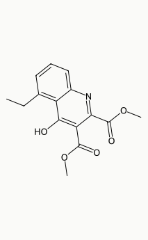 CCc1cccc2nc(C(=O)OC)c(C(=O)OC)c(O)c12